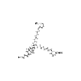 CCCCC/C=C\C/C=C\CCCCCCCCC1(CCCCCCCC/C=C\C/C=C\CCCCC)CC2(C1)O[C@H]1CC(CCCO)C[C@H]1O2